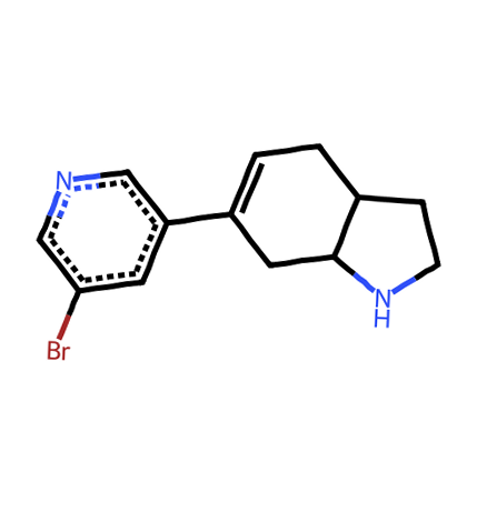 Brc1cncc(C2=CCC3CCNC3C2)c1